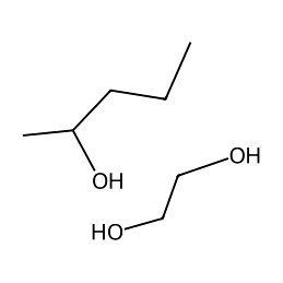 CCCC(C)O.OCCO